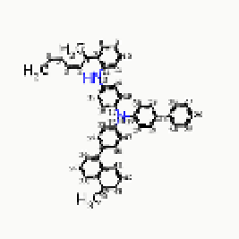 C=C(/C=C\C=C/C)c1ccccc1Nc1ccc(N(c2ccc(-c3ccccc3)cc2)c2ccc(-c3cccc4c3C=CCC4C)cc2)cc1